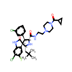 CC(C)(C)C[C@H]1N[C@@H](C(=O)NCCN2CCN(C(=O)C3CC3)CC2)[C@H](c2cccc(Cl)c2)[C@@]12C(=O)Nc1cc(Cl)c(F)cc12